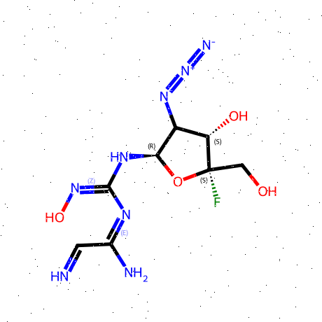 [N-]=[N+]=NC1[C@H](NC(=N/O)/N=C(/N)C=N)O[C@](F)(CO)[C@H]1O